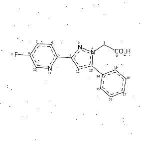 O=C(O)Cn1nc(-c2ccc(F)cn2)cc1-c1ccccc1